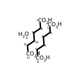 O.O=C(O)CCCCC(=O)O.O=C(O)CCCCC(=O)O